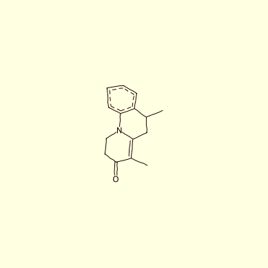 CC1=C2CC(C)c3ccccc3N2CCC1=O